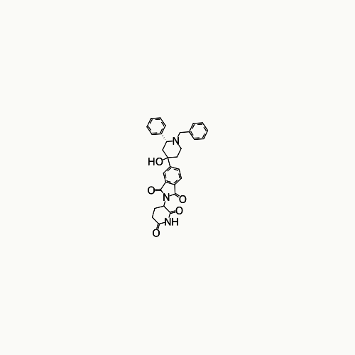 O=C1CCC(N2C(=O)c3ccc(C4(O)CCN(Cc5ccccc5)[C@@H](c5ccccc5)C4)cc3C2=O)C(=O)N1